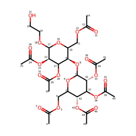 CC(=O)OCC1OC(O[C@@H]2C(COC(C)=O)OC(OCCO)[C@H](OC(C)=O)C2OC(C)=O)[C@H](OC(C)=O)C(OC(C)=O)[C@@H]1OC(C)=O